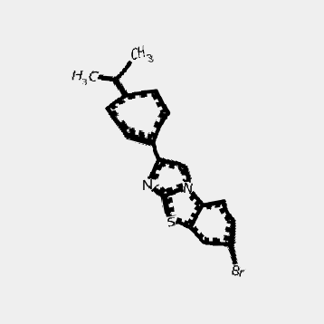 CC(C)c1ccc(-c2cn3c(n2)sc2cc(Br)ccc23)cc1